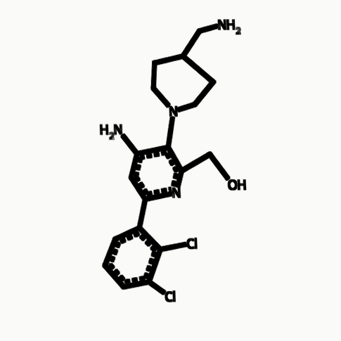 NCC1CCN(c2c(N)cc(-c3cccc(Cl)c3Cl)nc2CO)CC1